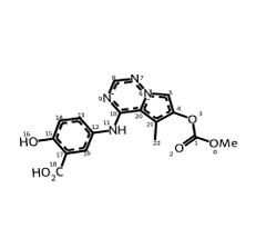 COC(=O)Oc1cn2ncnc(Nc3ccc(O)c(C(=O)O)c3)c2c1C